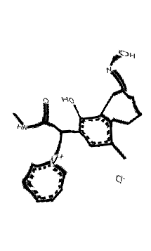 CNC(=O)C(c1cc(C)c2c(c1O)C(=NO)CC2)[n+]1ccccc1.[Cl-]